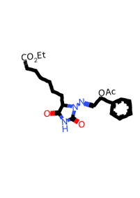 CCOC(=O)CCCCCCC1C(=O)NC(=O)N1N=CC(OC(C)=O)c1ccccc1